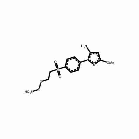 COc1cc(N)n(-c2ccc(S(=O)(=O)CCOOS(=O)(=O)O)cc2)n1